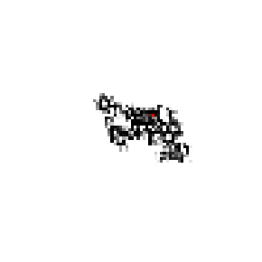 CC(C)[Si](C#Cc1c(F)ccc2cc(O[Si](C(C)C)(C(C)C)C(C)C)cc(-c3nc4c5c(nc(OC[C@@]67CCCN6C[C@H](F)C7)nc5c3F)N(C3CC(OCc5ccccc5)C3)CCO4)c12)(C(C)C)C(C)C